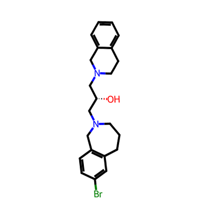 O[C@H](CN1CCCc2cc(Br)ccc2C1)CN1CCc2ccccc2C1